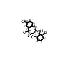 CN1CC(Nc2c(Cl)cccc2Cl)=Nc2ccc(Cl)cc2C1=O